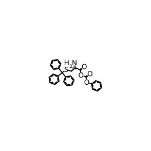 N[C@@H](CSC(c1ccccc1)(c1ccccc1)c1ccccc1)C(=O)OC(=O)Oc1ccccc1